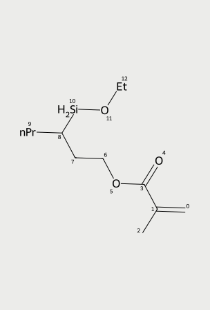 C=C(C)C(=O)OCCC(CCC)[SiH2]OCC